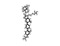 C[Si](C)(C)CCOCn1c(O[C@@H]2CO[C@H]3[C@@H]2OC[C@H]3O)nc2nc(-c3ccc(-c4ccc(N=S(C)(C)=O)cc4F)cc3)c(F)cc21